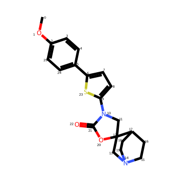 COc1ccc(-c2ccc(N3CC4(CN5CCC4CC5)OC3=O)s2)cc1